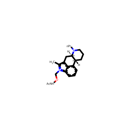 CCCN1CCC[C@@H]2c3cccc4c3c(c(C)n4CONC(C)=O)C[C@H]21